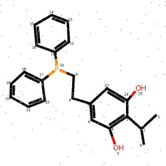 CC(C)c1c(O)cc(CCP(c2ccccc2)c2ccccc2)cc1O